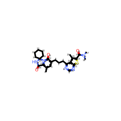 Cc1cc(CCCc2ncnc3sc(C(=O)N(C)C)c(C)c23)c(=O)n2c1C(=O)NC21CCCCC1